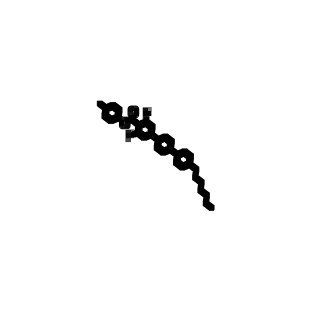 CCCCCCCc1ccc(-c2ccc(-c3cc(F)c(C(=O)Oc4ccc(C)cc4)c(F)c3)cc2)cc1